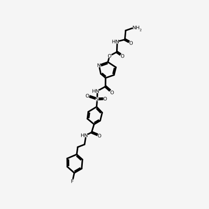 NCC(=O)NC(=O)Oc1ccc(C(=O)NS(=O)(=O)c2ccc(C(=O)NCCc3ccc(F)cc3)cc2)cn1